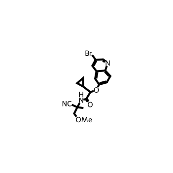 COCC(C)(C#N)NC(=O)C(Oc1ccc2ncc(Br)cc2c1)C1CC1